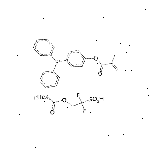 C=C(C)C(=O)Oc1ccc([S+](c2ccccc2)c2ccccc2)cc1.CCCCCCC(=O)OCC(F)(F)S(=O)(=O)O